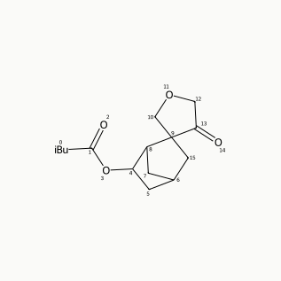 CCC(C)C(=O)OC1CC2CC1C1(COCC1=O)C2